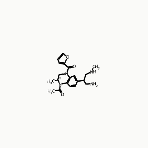 CNCC(CN)c1ccc2c(c1)N(C(=O)c1ccco1)C[C@H](C)N2C(C)=O